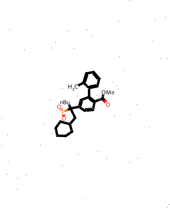 CCCCC(CC1CCCCC1)(c1ccc(C(=O)OC)c(-c2ccccc2C)c1)P(=O)=O